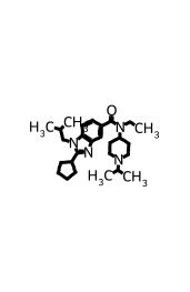 CCN(C(=O)c1ccc2c(c1)nc(C1CCCC1)n2CC(C)C)C1CCN(C(C)C)CC1